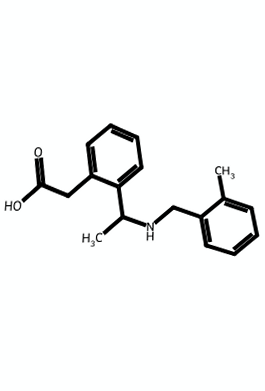 Cc1ccccc1CNC(C)c1ccccc1CC(=O)O